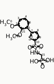 COc1cccc(-c2ccc(S(=O)(=O)NCP(=O)(O)O)s2)c1OC